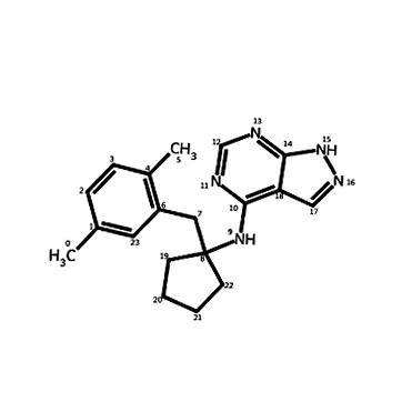 Cc1ccc(C)c(CC2(Nc3ncnc4[nH]ncc34)CCCC2)c1